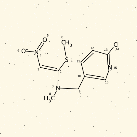 CSC(=C[N+](=O)[O-])N(C)Cc1ccc(Cl)nc1